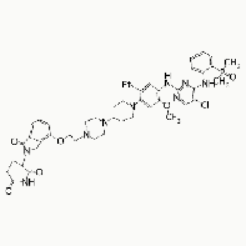 CCc1cc(Nc2ncc(Cl)c(Nc3ccccc3P(C)(C)=O)n2)c(OC(F)(F)F)cc1N1CCC(N2CCN(CCOc3cccc4c3CN(C3CCC(=O)NC3=O)C4=O)CC2)CC1